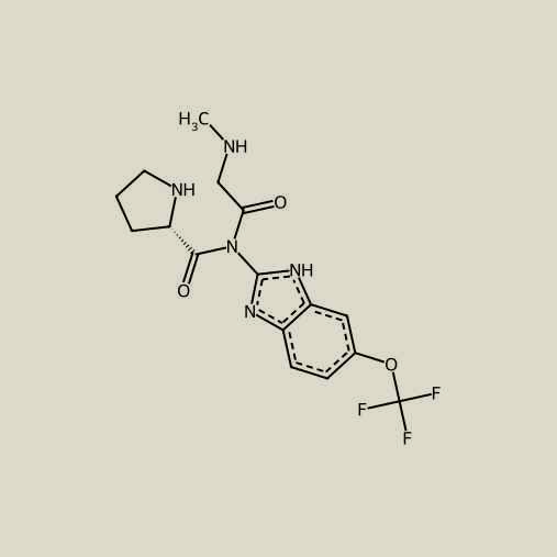 CNCC(=O)N(C(=O)[C@@H]1CCCN1)c1nc2ccc(OC(F)(F)F)cc2[nH]1